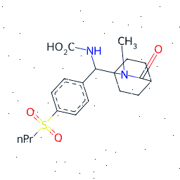 CCCS(=O)(=O)c1ccc(C(NC(=O)O)C23CCC(CC2)C(=O)N3C)cc1